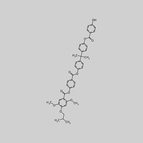 COc1cc(C(=O)Oc2ccc(C(=O)Oc3ccc(C(C)(C)c4ccc(OC(=O)c5ccc(O)cc5)cc4)cc3)cc2)c(OC)cc1OCC(C)C